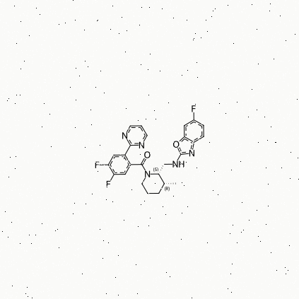 C[C@@H]1CCCN(C(=O)c2cc(F)c(F)cc2-c2ncccn2)[C@@H]1CNc1nc2ccc(F)cc2o1